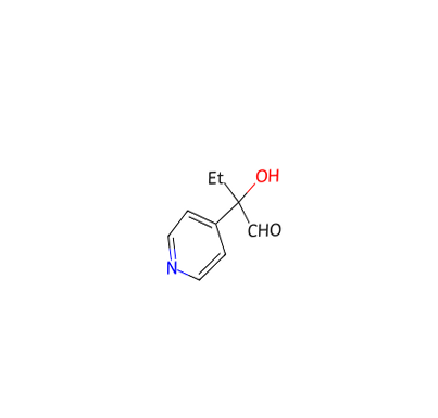 CCC(O)(C=O)c1ccncc1